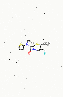 CC(=O)N(c1cccs1)C1C(=O)N2C=C(CF)C(C(=O)O)S[C@H]12